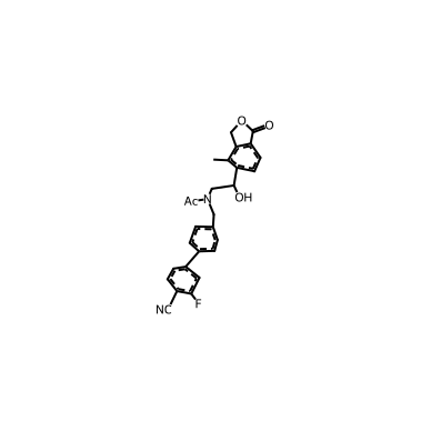 CC(=O)N(Cc1ccc(-c2ccc(C#N)c(F)c2)cc1)CC(O)c1ccc2c(c1C)COC2=O